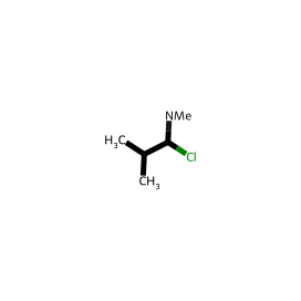 CNC(Cl)C(C)C